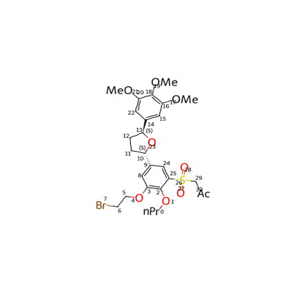 CCCOc1c(OCCBr)cc([C@@H]2CC[C@@H](c3cc(OC)c(OC)c(OC)c3)O2)cc1S(=O)(=O)CC(C)=O